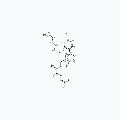 CC(C)=CCC(C)[C@@H](O)/C=C/[C@@H]1[C@@H]2C[C@@](c3ccc(F)cc3)(CO2)[C@H]1C/C=C\CCCC(=O)O